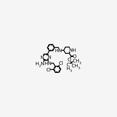 CC(C)(C)OC(=O)C1CC(NCc2cccc(-c3cnc(N)c(NCc4c(Cl)cccc4Cl)n3)c2)CCN1